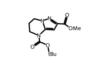 COC(=O)c1cc2n(n1)CCCN2C(=O)OC(C)(C)C